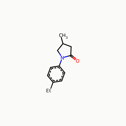 CCc1ccc(N2CC(C)CC2=O)cc1